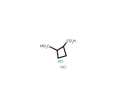 Cl.Cl.O=C(O)C1CCC1C(=O)O